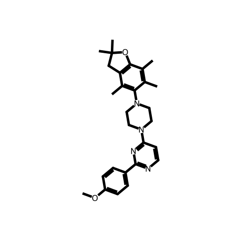 COc1ccc(-c2nccc(N3CCN(c4c(C)c(C)c5c(c4C)CC(C)(C)O5)CC3)n2)cc1